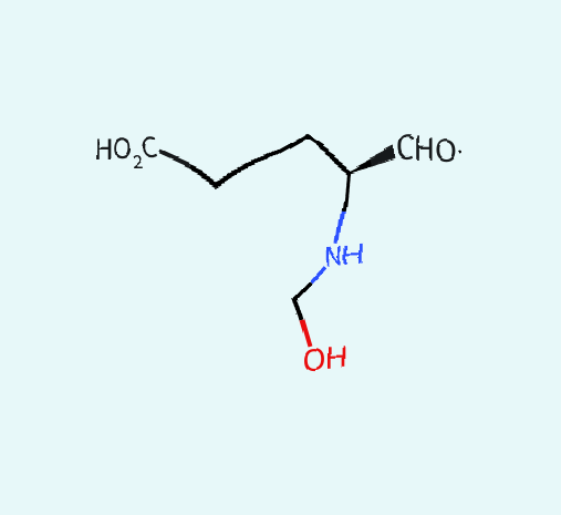 O=[C][C@H](CCC(=O)O)NCO